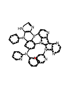 C1=NC2=C(NC1)N(c1ccccc1)c1cc(N(c3ccccn3)c3ccccn3)cc3c1B2c1ccnc2c4c5nccnc5n(-c5ccccn5)c4n-3c12